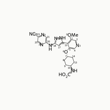 COc1cncc(O[C@H]2CC[C@H](NC(=O)O)CC2)c1-c1cc(Nc2cnc(C#N)cn2)n[nH]1